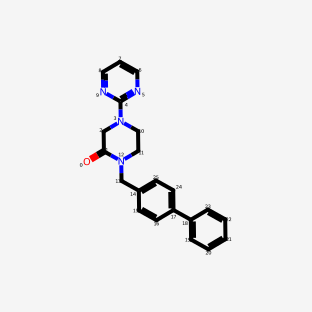 O=C1CN(c2ncccn2)CCN1Cc1ccc(-c2ccccc2)cc1